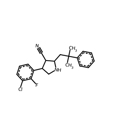 CC(C)(CC1NCC(c2cccc(Cl)c2F)C1C#N)c1ccccc1